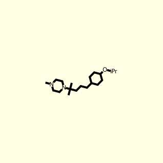 CC(C)OC1CCC(CCCC(C)(C)N2CCN(C)CC2)CC1